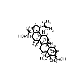 C=C(C)[C@@H]1CC[C@]2(C(=O)NO)CC[C@]3(C)[C@H](CC[C@@H]4[C@@]5(C)CC/C(=N\O)C(C)(C)[C@@H]5CC[C@]43C)[C@@H]12